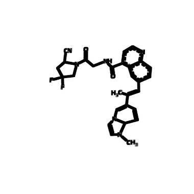 CC(=Cc1ccc2nccc(C(=O)NCC(=O)N3CC(F)(F)CC3C#N)c2c1)C1=CN2C=CN(C)C2C=C1